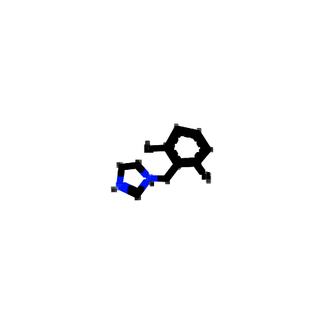 CCc1cccc(CC)c1CN1C=NCC1